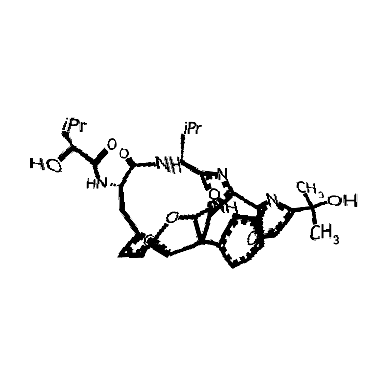 CC(C)[C@H](O)C(=O)N[C@H]1Cc2ccc3c(c2)C2(c4ccccc4NC2O3)c2oc(nc2-c2nc(C(C)(C)O)co2)[C@H](C(C)C)NC1=O